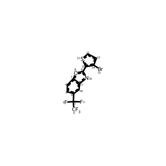 FC(F)(F)C(F)(F)c1ccc2oc(-c3sccc3Br)nc2c1